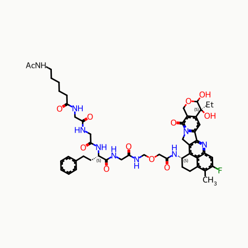 CC[C@]1(O)c2cc3n(c(=O)c2COC1O)Cc1c-3nc2cc(F)c(C)c3c2c1[C@@H](NC(=O)COCNC(=O)CNC(=O)[C@H](CCc1ccccc1)NC(=O)CNC(=O)CNC(=O)CCCCCNC(C)=O)CC3